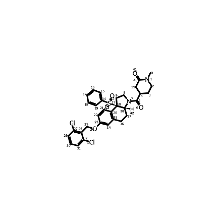 CN1CCC(C(=O)N2CC[C@@]3(S(=O)(=O)c4ccccc4)c4ccc(OCc5c(Cl)cccc5Cl)cc4CC[C@@H]23)CC1=O